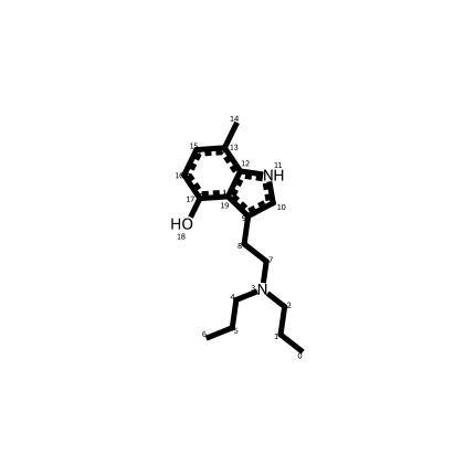 CCCN(CCC)CCc1c[nH]c2c(C)ccc(O)c12